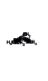 C=C/C=C(\C=C/N(C)c1ccc(N2CCC(C)C2=C)c(C)n1)CC1CCN(c2ncc(C)cn2)CC1